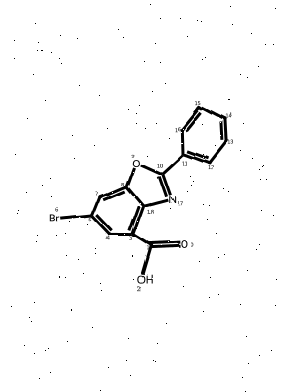 O=C(O)c1cc(Br)cc2oc(-c3ccccc3)nc12